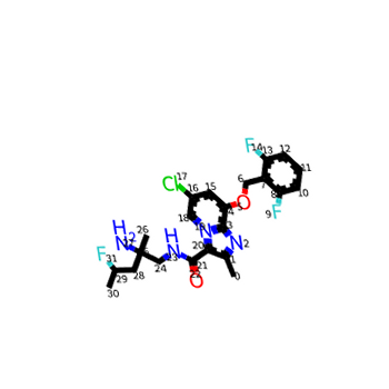 Cc1nc2c(OCc3c(F)cccc3F)cc(Cl)cn2c1C(=O)NCC(C)(N)CC(C)F